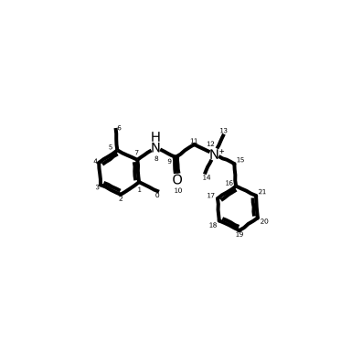 Cc1cccc(C)c1NC(=O)C[N+](C)(C)Cc1ccccc1